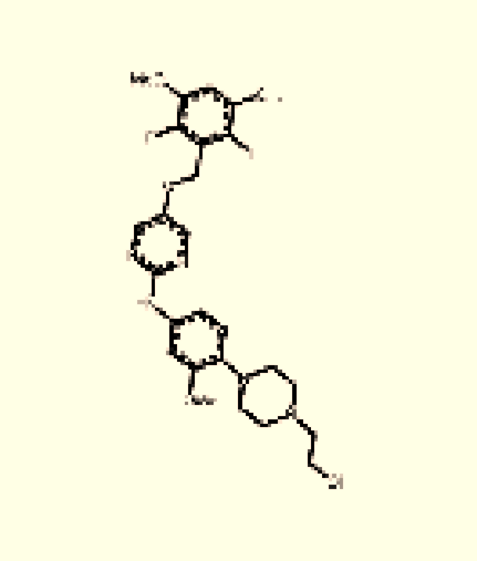 COc1cc(Nc2ncc(OCc3c(F)c(C)cc(OC)c3F)cn2)ccc1N1CCN(CCO)CC1